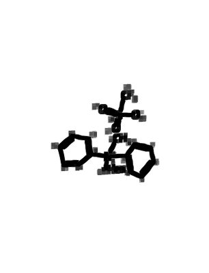 CCCCCC[N+](C)(c1ccccc1)c1ccccc1.O=S(=O)([O-])C(F)(F)F